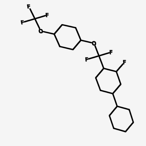 FC1CC(C2CCCCC2)CCC1C(F)(F)OC1CCC(OC(F)(F)F)CC1